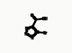 O=C(O)c1nnnn1Br